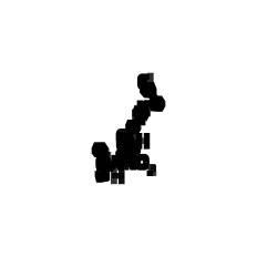 O=C(NS(=O)(=O)c1ccc(N[C@@H](CSc2ccccc2)CC(=O)N2CCC2)c([N+](=O)[O-])c1)c1ccc(N2CCN(Cc3ccccc3-c3ccc(Cl)cc3)CC2)cc1